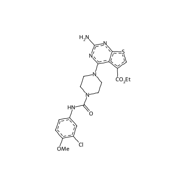 CCOC(=O)c1csc2nc(N)nc(N3CCN(C(=O)Nc4ccc(OC)c(Cl)c4)CC3)c12